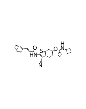 N#Cc1c(NC(=O)C=Cc2ccoc2)sc2c1CCC(OC(=O)NC1CCC1)C2